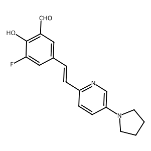 O=Cc1cc(/C=C/c2ccc(N3CCCC3)cn2)cc(F)c1O